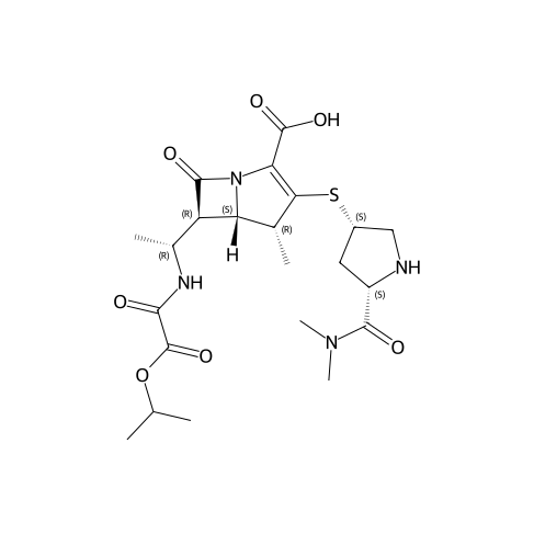 CC(C)OC(=O)C(=O)N[C@H](C)[C@H]1C(=O)N2C(C(=O)O)=C(S[C@@H]3CN[C@H](C(=O)N(C)C)C3)[C@H](C)[C@H]12